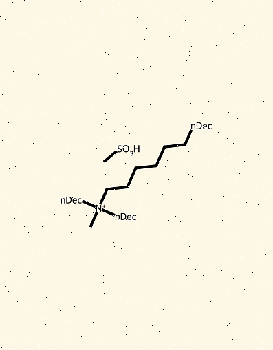 CCCCCCCCCCCCCCCC[N+](C)(CCCCCCCCCC)CCCCCCCCCC.CS(=O)(=O)O